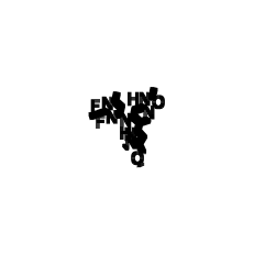 COCc1cc(-c2cnc(NC(C)=O)cc2Nc2cc(C)nc(C(C)(F)F)n2)nn1C